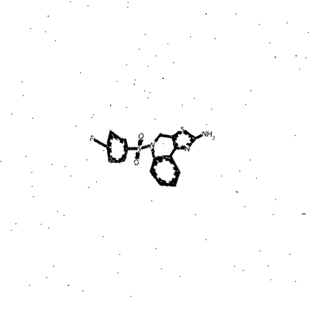 Nc1nc2c(s1)CN(S(=O)(=O)c1ccc(F)cc1)c1ccccc1-2